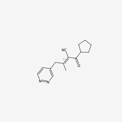 C/C(Cc1ccnnc1)=C(/C#N)C(=O)C1CCCC1